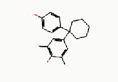 Cc1cc(C2(c3ccc(O)cc3)CCCCC2)cc(C)c1O